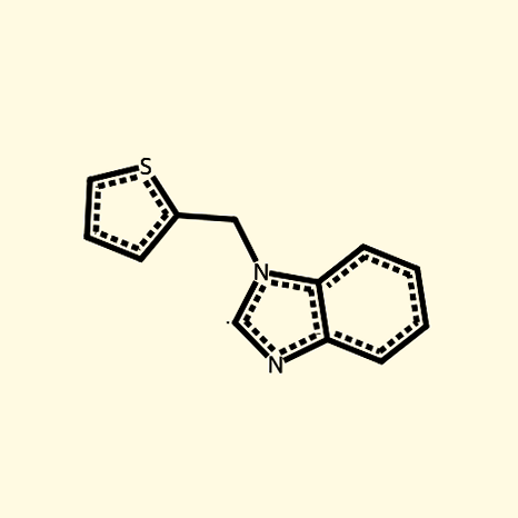 [c]1nc2ccccc2n1Cc1cccs1